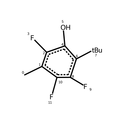 Cc1c(F)c(O)c(C(C)(C)C)c(F)c1F